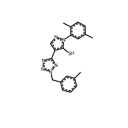 Cc1cccc(Cn2nnc(-c3cnn(-c4cc(C)ccc4C)c3S)n2)c1